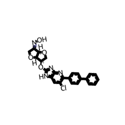 O/N=C1/CO[C@H]2[C@@H]1OC[C@H]2Oc1nc2nc(-c3ccc(-c4ccccc4)cc3)c(Cl)cc2[nH]1